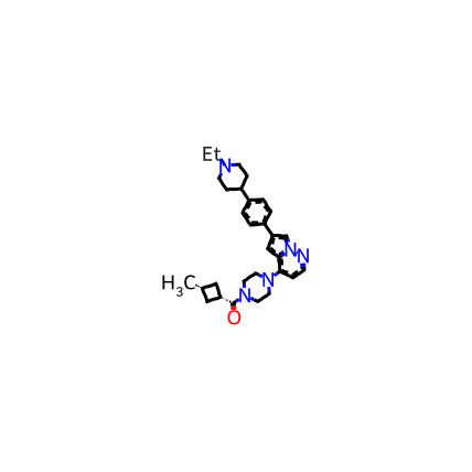 CCN1CCC(c2ccc(-c3cc4c(N5CCN(C(=O)[C@H]6C[C@@H](C)C6)CC5)ccnn4c3)cc2)CC1